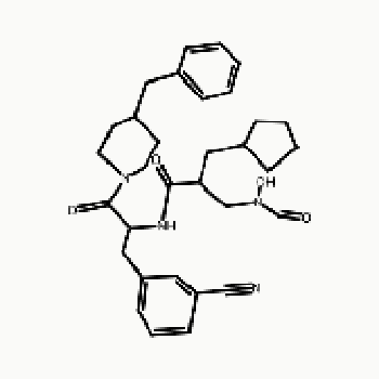 N#Cc1cccc(CC(NC(=O)C(CC2CCCC2)CN(O)C=O)C(=O)N2CCC(Cc3ccccc3)CC2)c1